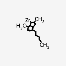 CCCCCCc1ccc(C)c2c1C=C(C)[CH]2[Zr]